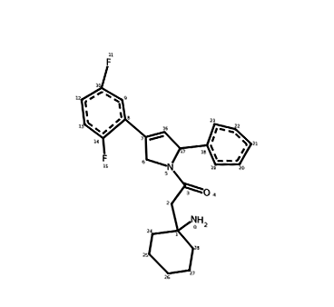 NC1(CC(=O)N2CC(c3cc(F)ccc3F)=CC2c2ccccc2)CCCCC1